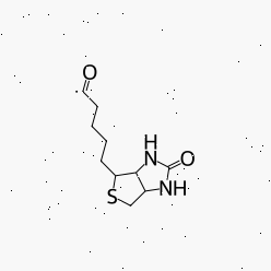 O=[C]CCCCC1SCC2NC(=O)NC21